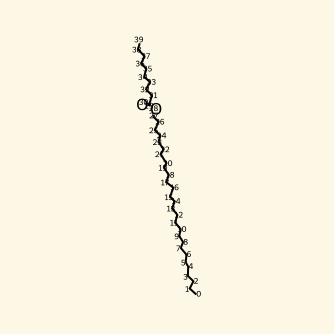 CCCCCCCCCCCCCCCCCCCCCCCCCCCCOC(=O)CCCCCCCCC